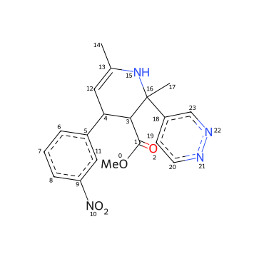 COC(=O)C1C(c2cccc([N+](=O)[O-])c2)C=C(C)NC1(C)c1ccnnc1